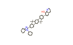 CC1(C)c2cc(-c3ccc4cccnc4c3O)ccc2-c2cc3c(cc21)-c1ccc(-c2nc4ccccc4n2-c2ccccc2)cc1C3(C)C